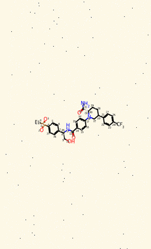 CCS(=O)(=O)c1ccc([C@H](CO)NC(=O)c2ccc(N3CC(c4ccc(C(F)(F)F)cc4)CC[C@H]3C(N)=O)cc2)cc1